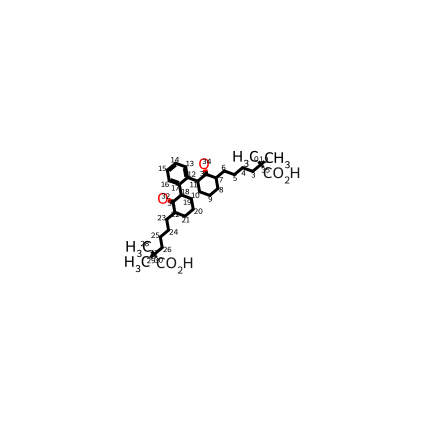 CC(C)(CCCCC1CCCC(c2ccccc2C2CCCC(CCCCC(C)(C)C(=O)O)C2=O)C1=O)C(=O)O